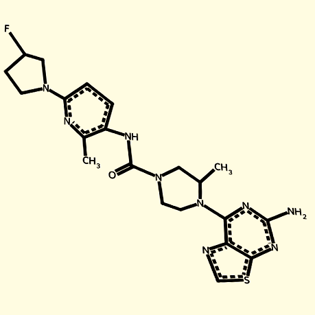 Cc1nc(N2CCC(F)C2)ccc1NC(=O)N1CCN(c2nc(N)nc3scnc23)C(C)C1